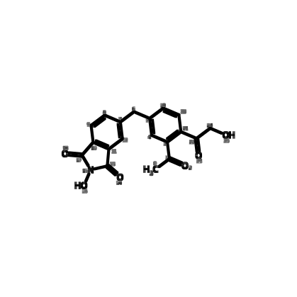 CC(=O)c1cc(Cc2ccc3c(c2)C(=O)N(O)C3=O)ccc1C(=O)CO